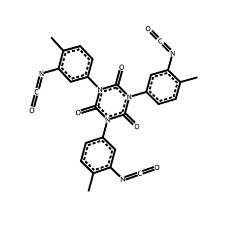 Cc1ccc(-n2c(=O)n(-c3ccc(C)c(N=C=O)c3)c(=O)n(-c3ccc(C)c(N=C=O)c3)c2=O)cc1N=C=O